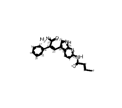 CCCC(=O)Nc1ccc2c(C=C(C(N)=O)c3ccccc3)c[nH]c2n1